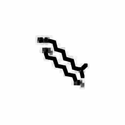 CNCCCCCCN(C)C.NCCCCCCN